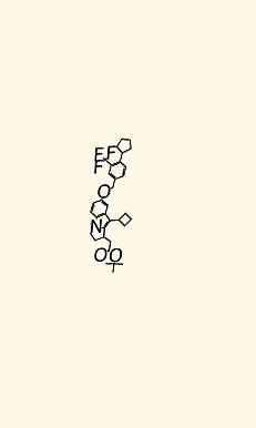 CC(C)(C)OC(=O)CC1CCn2c1c(C1CCC1)c1cc(OCc3ccc(C4CCCC4)c(C(F)(F)F)c3)ccc12